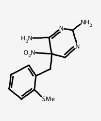 CSc1ccccc1CC1([N+](=O)[O-])C=NC(N)N=C1N